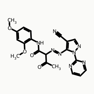 COc1ccc(NC(=O)C(N=Nc2c(C#N)cnn2-c2ncccn2)C(C)=O)c(OC)c1